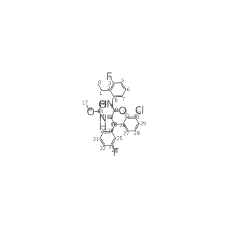 CCc1c(F)cccc1NC(=O)[C@@H](NC(=O)OC)[C@H](c1cccc(F)c1)c1cccc(Cl)c1